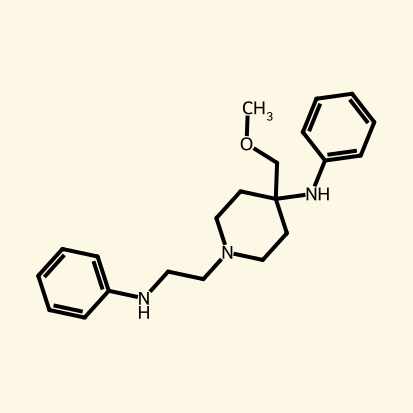 COCC1(Nc2ccccc2)CCN(CCNc2ccccc2)CC1